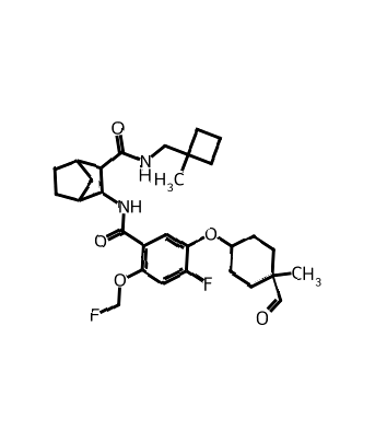 CC1(C=O)CCC(Oc2cc(C(=O)NC3C4CCC(C4)C3C(=O)NCC3(C)CCC3)c(OCF)cc2F)CC1